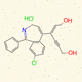 Cl.OCC#CC(=CCO)C1=CCN=C(c2ccccc2)c2cc(Cl)ccc21